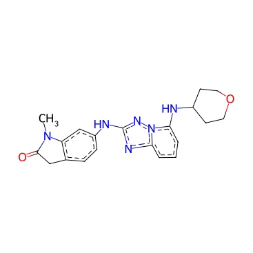 CN1C(=O)Cc2ccc(Nc3nc4cccc(NC5CCOCC5)n4n3)cc21